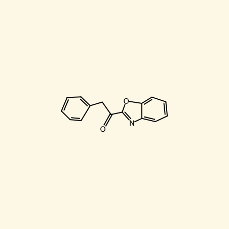 O=C(Cc1ccccc1)c1nc2ccccc2o1